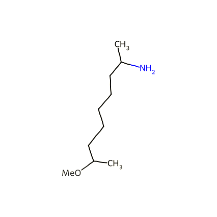 COC(C)CCCCCC(C)N